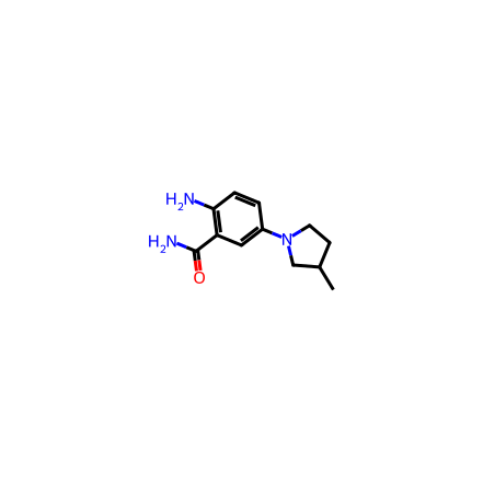 CC1CCN(c2ccc(N)c(C(N)=O)c2)C1